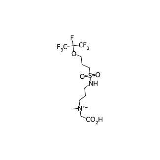 C[N+](C)(CCCNS(=O)(=O)CCCOC(F)(C(F)(F)F)C(F)(F)F)CC(=O)O